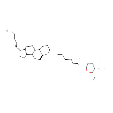 CC(=O)OC[C@H]1O[C@@H](SCCCCCCO[C@H]2CC[C@@]3(C)C(=CCC4C3CC[C@@]3(C)C4CC[C@@H]3[C@H](C)CCCC(C)C)C2)[C@H](OC(C)=O)[C@@H](OC(C)=O)[C@H]1OC(C)=O